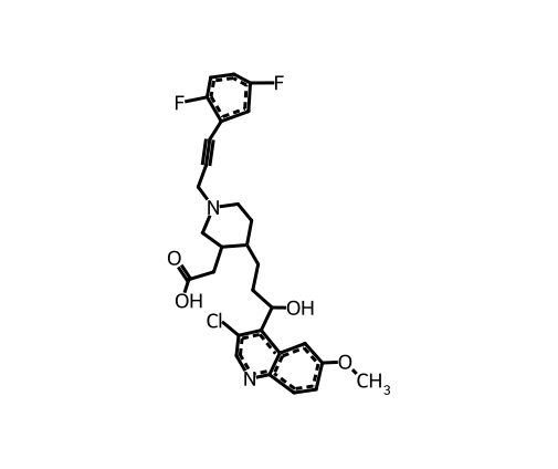 COc1ccc2ncc(Cl)c(C(O)CCC3CCN(CC#Cc4cc(F)ccc4F)CC3CC(=O)O)c2c1